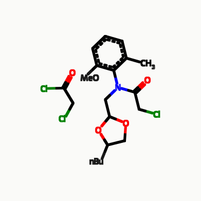 CCCCC1COC(CN(C(=O)CCl)c2c(C)cccc2OC)O1.O=C(Cl)CCl